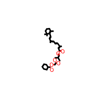 CC(C=CC1=C(C)CCCC1(C)C)=CC=CC(C)=CC(=O)OCC1COC(COC(=O)C2CCCCC2)OC1